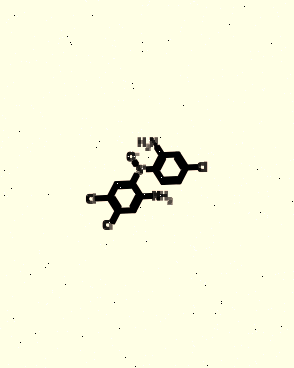 Nc1cc(Cl)ccc1[S+]([O-])c1cc(Cl)c(Cl)cc1N